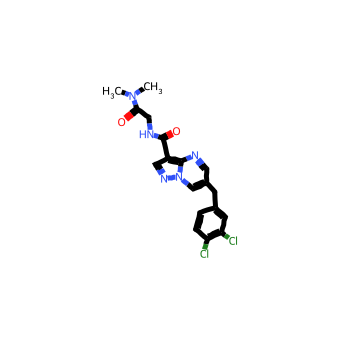 CN(C)C(=O)CNC(=O)c1cnn2cc(Cc3ccc(Cl)c(Cl)c3)cnc12